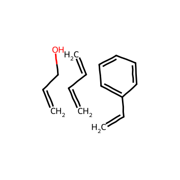 C=CC=C.C=CCO.C=Cc1ccccc1